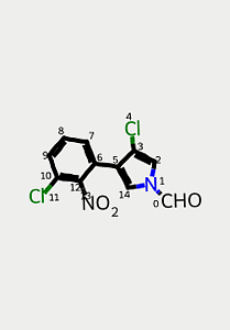 O=Cn1cc(Cl)c(-c2cccc(Cl)c2[N+](=O)[O-])c1